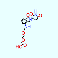 O=C(O)COCCOCCNc1cccc2c1CN(C1CCC(=O)NC1=O)C2=O